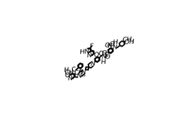 COc1ccc(CN2CCN(C3CC4(CCN(c5ccc(C(=O)NS(=O)(=O)c6ccc(NCC7CCC(C)(O)CC7)c([N+](=O)[O-])c6)c(Oc6cnc7[nH]cc(F)c7c6)c5)CC4)C3)[C@H](c3ccccc3C(C)C)C2)cn1